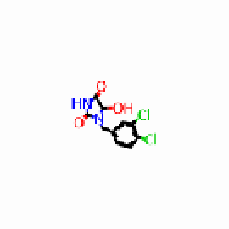 O=C1NC(=O)N(Cc2ccc(Cl)c(Cl)c2)C1O